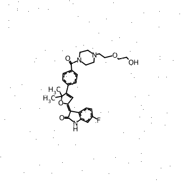 CC1(C)OC(=C2C(=O)Nc3cc(F)ccc32)C=C1c1ccc(C(=O)N2CCN(CCOCCO)CC2)cc1